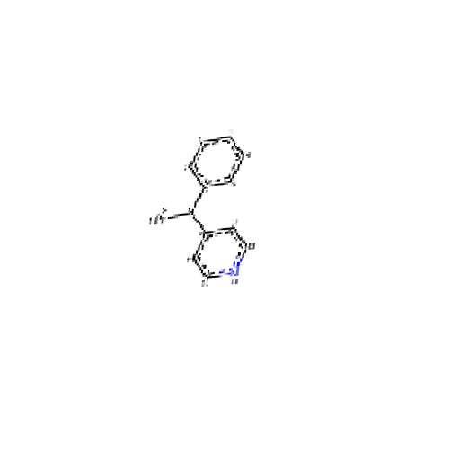 CCCC(c1ccccc1)c1ccncc1